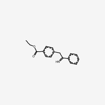 CCOC(=O)c1ccc(CC(=N)c2ccccc2)cc1